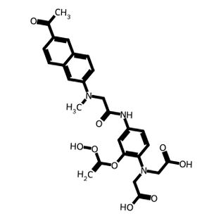 C=C(OO)Oc1cc(NC(=O)CN(C)c2ccc3cc(C(C)=O)ccc3c2)ccc1N(CC(=O)O)CC(=O)O